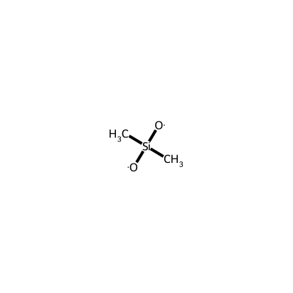 C[Si](C)([O])[O]